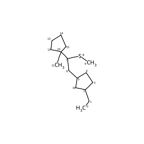 CCC1CCC(CC(SC)C2(C)CCCC2)C1